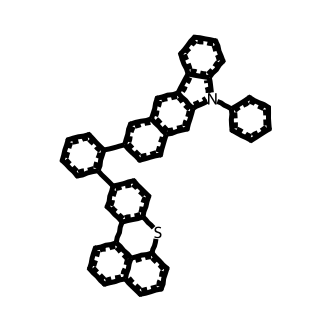 c1ccc(-n2c3ccccc3c3cc4cc(-c5ccccc5-c5ccc6c(c5)-c5cccc7cccc(c57)S6)ccc4cc32)cc1